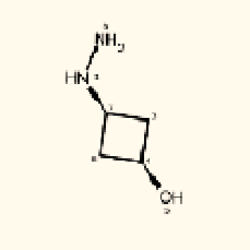 NN[C@H]1C[C@@H](O)C1